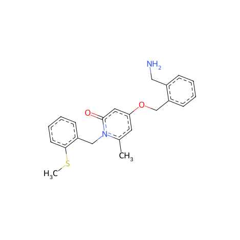 CSc1ccccc1Cn1c(C)cc(OCc2ccccc2CN)cc1=O